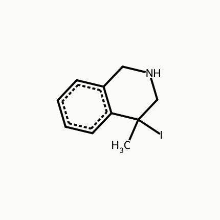 CC1(I)CNCc2ccccc21